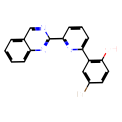 Oc1ccc(Br)cc1-c1cccc(-c2ncc3ccccc3n2)n1